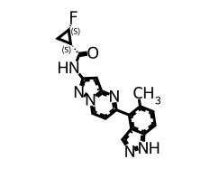 Cc1ccc2[nH]ncc2c1-c1ccn2nc(NC(=O)[C@@H]3C[C@@H]3F)cc2n1